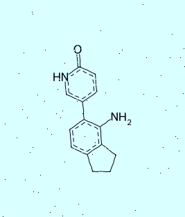 Nc1c(-c2ccc(=O)[nH]c2)ccc2c1CCC2